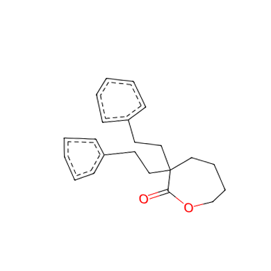 O=C1OCCCCC1(CCc1ccccc1)CCc1ccccc1